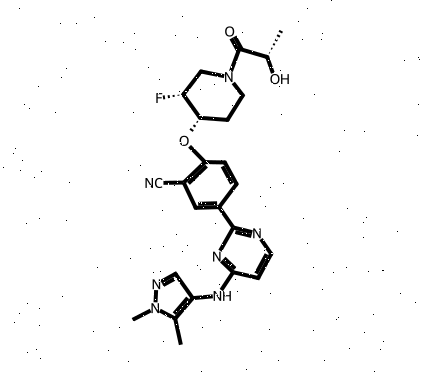 Cc1c(Nc2ccnc(-c3ccc(O[C@H]4CCN(C(=O)[C@H](C)O)C[C@H]4F)c(C#N)c3)n2)cnn1C